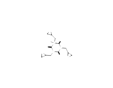 CC[N+]1(CC2CO2)C(=O)N(CC2CO2)C(=O)N(CC2CO2)C1=O